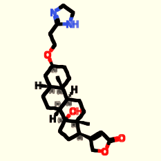 C[C@]12CC[C@H](OCCC3=NCCN3)C[C@H]1CC[C@@H]1[C@@H]2CC[C@]2(C)[C@@H](C3=CC(=O)OC3)CC[C@]12O